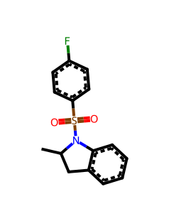 CC1Cc2ccccc2N1S(=O)(=O)c1ccc(F)cc1